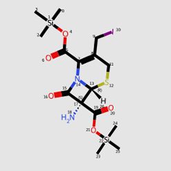 C[Si](C)(C)OC(=O)C1=C(CI)CS[C@H]2N1C(=O)[C@]2(N)C(=O)O[Si](C)(C)C